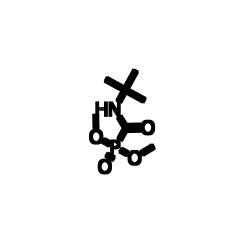 COP(=O)(OC)C(=O)NC(C)(C)C